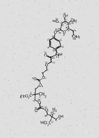 CCOC(=O)C(C)(COC(=O)OCCOCC(=O)Nc1ccc(O[C@@H]2O[C@H](CO)[C@H](O)[C@H](O)[C@H]2O)cc1)COC(=O)OCC(C)(CO)C(=O)O